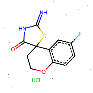 Cl.N=C1NC(=O)C2(CCOc3ccc(F)cc32)S1